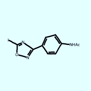 CC(=O)Nc1ccc(-c2noc(I)n2)cc1